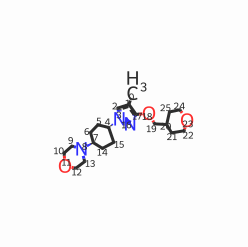 Cc1cn([C@H]2CC[C@H](N3CCOCC3)CC2)nc1OCC1CCOCC1